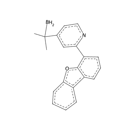 BC(C)(C)c1ccnc(-c2cccc3c2oc2ccccc23)c1